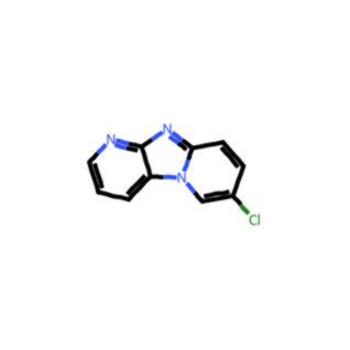 Clc1ccc2nc3ncccc3n2c1